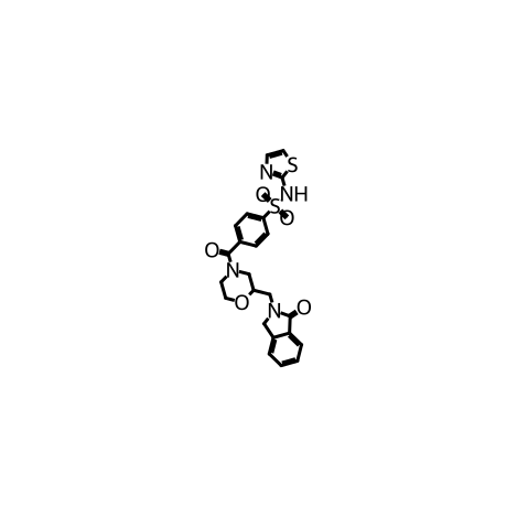 O=C(c1ccc(S(=O)(=O)Nc2nccs2)cc1)N1CCOC(CN2Cc3ccccc3C2=O)C1